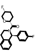 O=C([C@H]1CC[C@@H](F)CO1)N1CCc2ccccc2[C@@H]1c1ccc(F)cc1